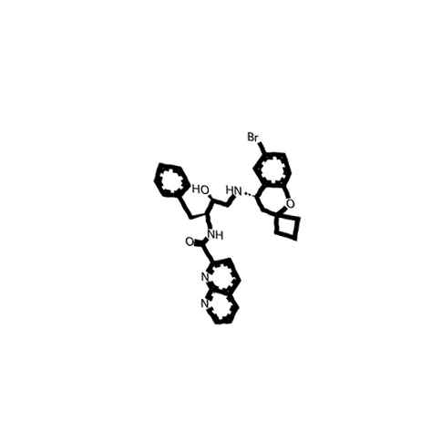 O=C(N[C@@H](Cc1ccccc1)[C@@H](O)CN[C@H]1CC2(CCC2)Oc2ccc(Br)cc21)c1ccc2cccnc2n1